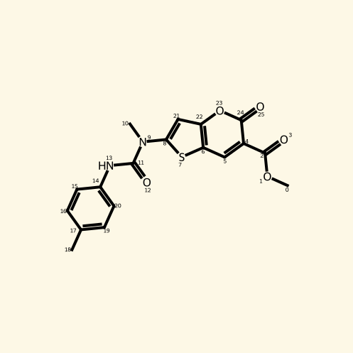 COC(=O)c1cc2sc(N(C)C(=O)Nc3ccc(C)cc3)cc2oc1=O